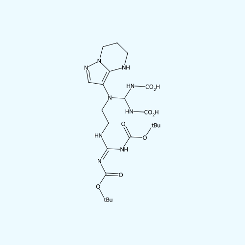 CC(C)(C)OC(=O)/N=C(/NCCN(c1cnn2c1NCCC2)C(NC(=O)O)NC(=O)O)NC(=O)OC(C)(C)C